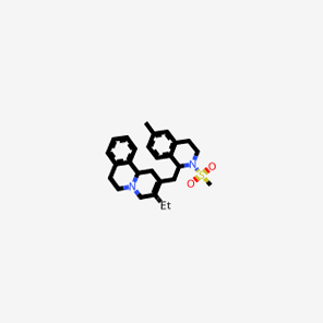 CCC1=C(CC2c3ccc(C)cc3CCN2S(C)(=O)=O)CC2c3ccccc3CCN2C1